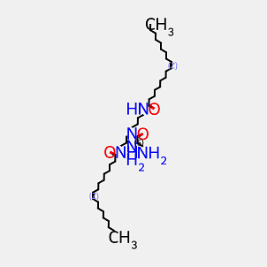 CCCCCCCC/C=C\CCCCCCCC(=O)NCCCCN(CCCNC(=O)CCCCCCC/C=C\CCCCCCCC)C(=O)[C@@H](N)CN